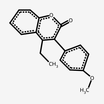 CCc1c(-c2ccc(OC)cc2)c(=O)oc2ccccc12